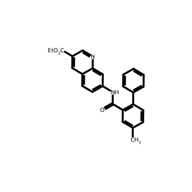 CCOC(=O)c1cnc2cc(NC(=O)c3cc(C)ccc3-c3ccccc3)ccc2c1